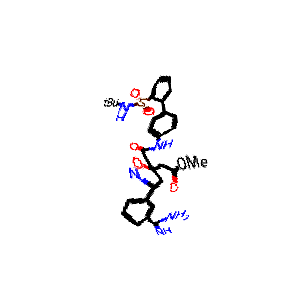 COC(=O)CC1(C(=O)Nc2ccc(-c3ccccc3S(=O)(=O)NC(C)(C)C)cc2)CC(c2cccc(C(=N)N)c2)=NO1